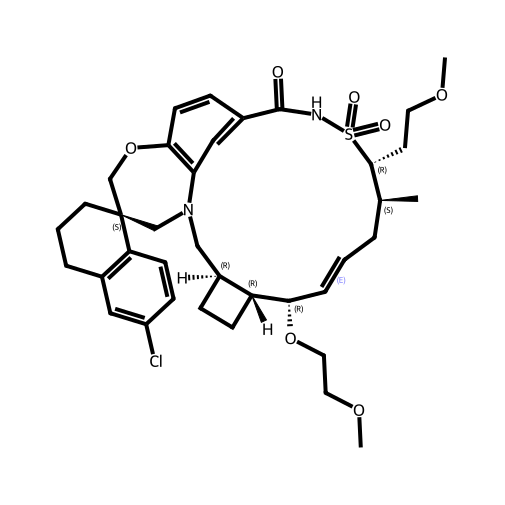 COCCO[C@H]1/C=C/C[C@H](C)[C@@H](CCOC)S(=O)(=O)NC(=O)c2ccc3c(c2)N(C[C@@H]2CC[C@H]21)C[C@@]1(CCCc2cc(Cl)ccc21)CO3